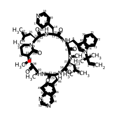 C=CC(C)(C)n1cc(C[C@@H]2NC(=O)[C@H](Cc3ccncc3)NC(=O)[C@H](CC(C)C)N3CCC[C@@H](C3=O)N(C)C(=O)[C@H](C)NC(=O)[C@H](Cc3ccc4ncncc4c3)NC(=O)[C@H](CC(C)C)N(C)C2=O)c2ccccc21